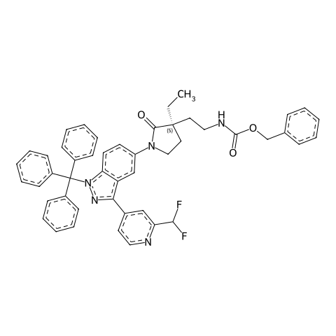 CC[C@]1(CCNC(=O)OCc2ccccc2)CCN(c2ccc3c(c2)c(-c2ccnc(C(F)F)c2)nn3C(c2ccccc2)(c2ccccc2)c2ccccc2)C1=O